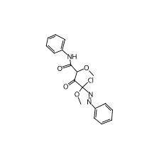 COC(C(=O)Nc1ccccc1)C(=O)C(Cl)(N=Nc1ccccc1)OC